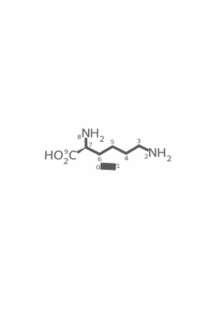 C#C.NCCCC[C@H](N)C(=O)O